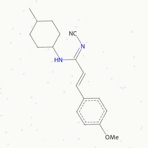 COc1ccc(C=CC(=NC#N)NC2CCC(C)CC2)cc1